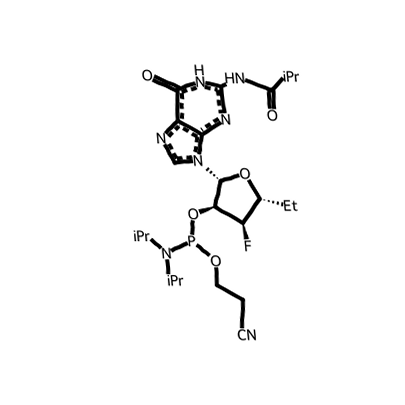 CC[C@H]1O[C@@H](n2cnc3c(=O)[nH]c(NC(=O)C(C)C)nc32)[C@H](OP(OCCC#N)N(C(C)C)C(C)C)[C@@H]1F